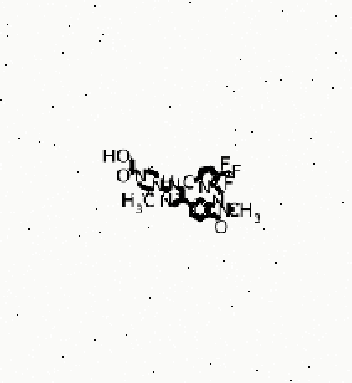 Cc1ccc(C(F)(F)F)c(Cn2c3cc(-c4cnc(N5CCN(C(=O)CO)C[C@H]5C)nc4)ccc3c(=O)n2C)n1